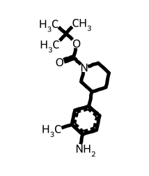 Cc1cc(C2CCCN(C(=O)OC(C)(C)C)C2)ccc1N